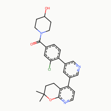 CC1(C)CCc2c(-c3cncc(-c4ccc(C(=O)N5CCC(O)CC5)cc4Cl)c3)ccnc2O1